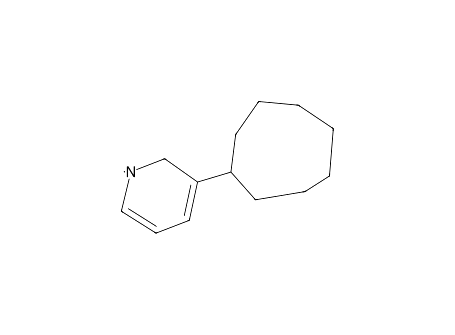 C1=C[N]CC(C2CCCCCCC2)=C1